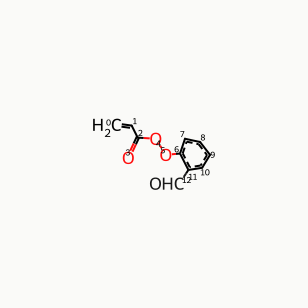 C=CC(=O)OOc1ccccc1C=O